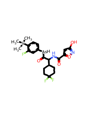 C[Si](C)(C)c1ccc([AsH]C(=O)C(NC(=O)c2cc(O)no2)C2CCC(F)(F)CC2)cc1F